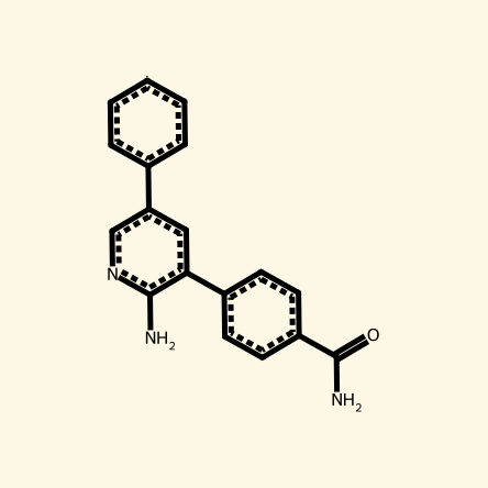 NC(=O)c1ccc(-c2cc(-c3cc[c]cc3)cnc2N)cc1